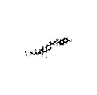 Cn1c(CN2CCN(C(=O)CCS(=O)(=O)c3ccc4cc(Cl)ccc4c3)CC2)c(Br)s/c1=N\C(=O)OC(C)(C)C